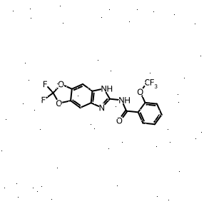 O=C(Nc1nc2cc3c(cc2[nH]1)OC(F)(F)O3)c1ccccc1OC(F)(F)F